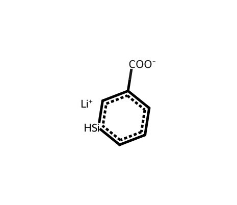 O=C([O-])c1ccc[siH]c1.[Li+]